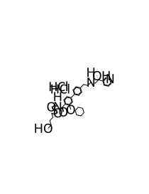 Cl.Cl.O=C(NS(=O)(=O)CCCCO)c1ccc(-c2ccc(CCNC[C@H](O)c3cccnc3)cc2)cc1OC1CCCCC1